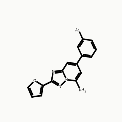 CC(=O)c1cccc(-c2cc(N)n3nc(-c4ccco4)nc3c2)c1